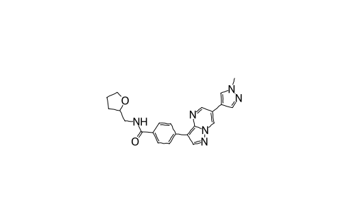 Cn1cc(-c2cnc3c(-c4ccc(C(=O)NCC5CCCO5)cc4)cnn3c2)cn1